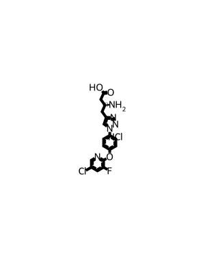 Cl.N[C@H](CC(=O)O)Cc1cn(-c2ccc(Oc3ncc(Cl)cc3F)cc2)nn1